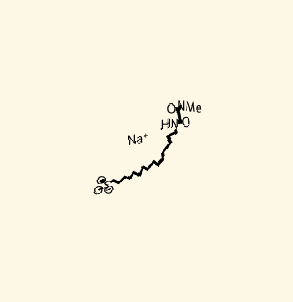 CNC(=O)C(=O)NCCCC/C=C\CCCCCCCCCS(=O)(=O)[O-].[Na+]